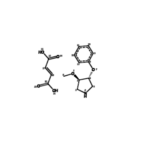 CO[C@@H]1CNC[C@H]1Oc1ccccc1.O=C(O)C=CC(=O)O